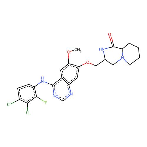 COc1cc2c(Nc3ccc(Cl)c(Cl)c3F)ncnc2cc1OCC1CN2CCCCC2C(=O)N1